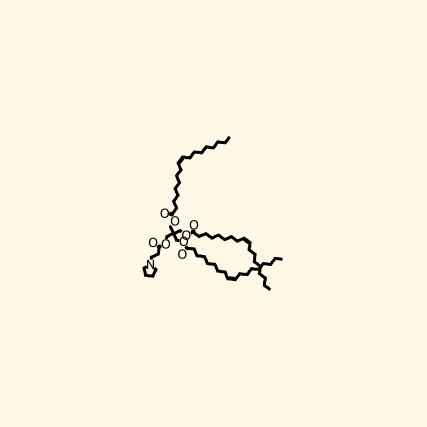 CCCCCCCC/C=C\CCCCCCCC(=O)OCC(COC(=O)CCCCCCC/C=C\CCCCCCCC)(COC(=O)CCCCCCC/C=C\CCCCCCCC)COC(=O)CCN1CCCC1